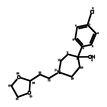 OC1(c2ccc(Cl)cc2)CCN(CCC2OCCO2)CC1